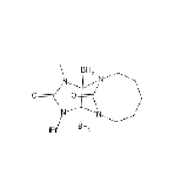 BC12N(C)C(=O)N(C(C)C)C1(B)N1CCCCCN2C1=O